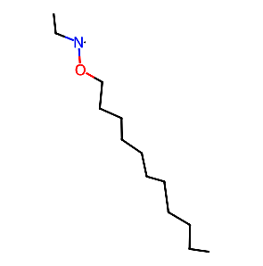 CCCCCCCCCCCO[N]CC